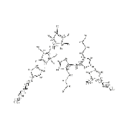 CC1=C(C)C(C)(C)[C]([Hf+2][C]2=C(C)C(C)=C(C)C2(C)C)=C1C.CCCCC1=[C]([Zr+2][C]2=C(CCCC)C=CC2)CC=C1.[Cl-].[Cl-].[Cl-].[Cl-].[Cl-].[Cl-].[Cl-].[Cl-].[Cl-].[Cl-].[Ti+3][C]1=CC=CC1.[Zr+3][C]1=CC=CC1